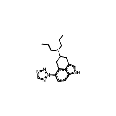 CCCN(CCC)C1Cc2c[nH]c3ccc(-n4ncnn4)c(c23)C1